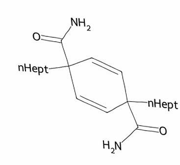 CCCCCCCC1(C(N)=O)C=CC(CCCCCCC)(C(N)=O)C=C1